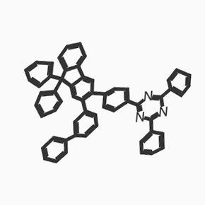 c1ccc(-c2cccc(-c3cc4c(cc3-c3ccc(-c5nc(-c6ccccc6)nc(-c6ccccc6)n5)cc3)-c3ccccc3C4(c3ccccc3)c3ccccc3)c2)cc1